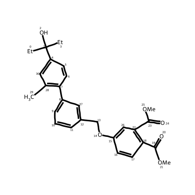 CCC(O)(CC)c1ccc(-c2cccc(COc3ccc(C(=O)OC)c(C(=O)OC)c3)c2)c(C)c1